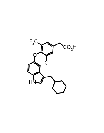 O=C(O)Cc1cc(Cl)c(Oc2ccc3[nH]cc(CC4CCCCC4)c3c2)c(C(F)(F)F)c1